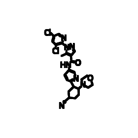 Cc1c(C(=O)Nc2ccc(C3CC(C#N)CCC3N3CCOCC3)nc2)cnn1-c1ncc(Cl)cc1Cl